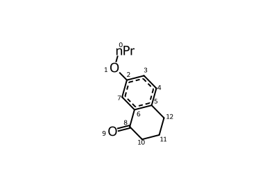 CCCOc1ccc2c(c1)C(=O)CCC2